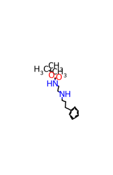 CC(C)(C)OC(=O)NCCNCCCc1ccccc1